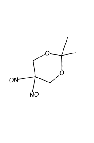 CC1(C)OCC(N=O)(N=O)CO1